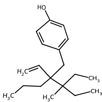 C=CC(CCC)(Cc1ccc(O)cc1)C(C)(CC)CC